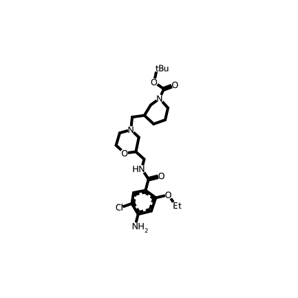 CCOc1cc(N)c(Cl)cc1C(=O)NCC1CN(CC2CCCN(C(=O)OC(C)(C)C)C2)CCO1